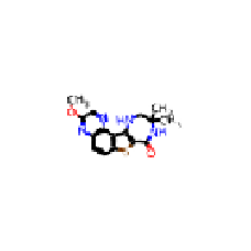 COc1cnc2c(ccc3sc4c(c32)NCC(C)(C)NC4=O)n1